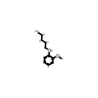 COc1ccccc1OCCCCI